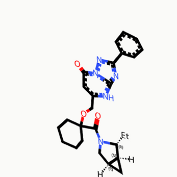 CC[C@@H]1[C@H]2C[C@H]2CN1C(=O)C1(OCc2cc(=O)n3nc(-c4ccccc4)nc3[nH]2)CCCCC1